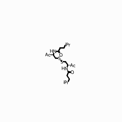 CC(=O)[C@H](CSSC[C@@H](NC(=O)CCC(C)C)C(C)=O)NC(=O)CCC(C)C